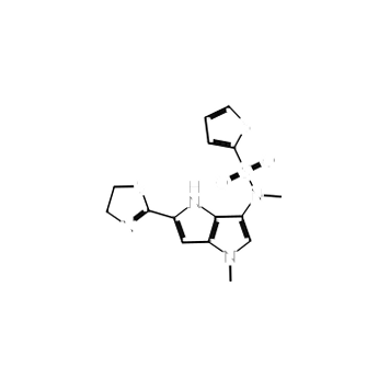 CN(c1cn(C)c2cc(C3=NCCS3)[nH]c12)S(=O)(=O)c1cccs1